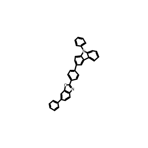 c1ccc(-c2ccc3nc(-c4ccc(-c5ccc6c(c5)c5ccccc5n6-c5ccccc5)cc4)oc3c2)cc1